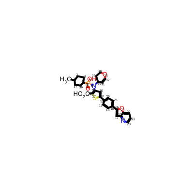 CC1CCC([P@@](=O)(O)N(c2cc(-c3ccc(-c4cc5ncccc5o4)cc3)sc2C(=O)O)C2C=COCC2)CC1